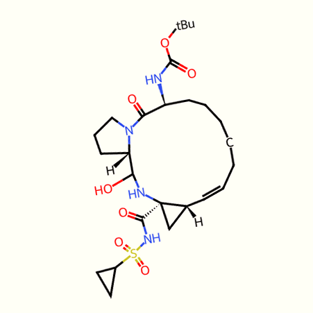 CC(C)(C)OC(=O)N[C@H]1CCCCC/C=C\[C@@H]2C[C@@]2(C(=O)NS(=O)(=O)C2CC2)NC(O)[C@@H]2CCCN2C1=O